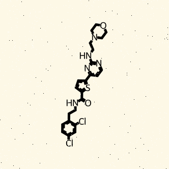 O=C(NCCc1ccc(Cl)cc1Cl)c1ccc(-c2ccnc(NCCN3CCOCC3)n2)s1